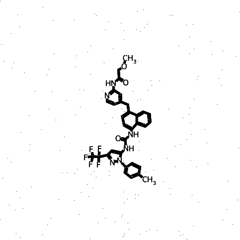 COCC(=O)Nc1cc(Cc2ccc(NC(=O)Nc3cc(C(F)(F)C(F)(F)F)nn3-c3ccc(C)cc3)c3ccccc23)ccn1